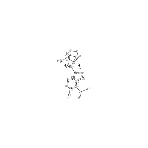 CC1(C)[C@H](Nc2noc3c(C(F)F)c(Cl)ccc23)C2CCN1CC2